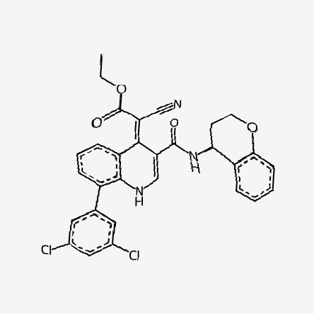 CCOC(=O)/C(C#N)=C1/C(C(=O)NC2CCOc3ccccc32)=CNc2c1cccc2-c1cc(Cl)cc(Cl)c1